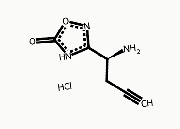 C#CC[C@H](N)c1noc(=O)[nH]1.Cl